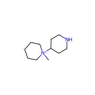 C[N+]1(C2CCNCC2)CC[CH]CC1